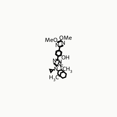 COc1ncc(-c2ccc(-c3ncc(N(C4CC4)[C@@H]4C[C@@]5(C)CCC[C@](C)(C5)[C@@H]4F)nn3)c(O)c2)nc1OC